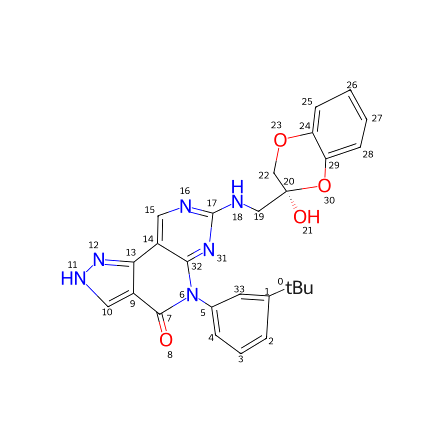 CC(C)(C)c1cccc(-n2c(=O)c3c[nH]nc3c3cnc(NC[C@@]4(O)COc5ccccc5O4)nc32)c1